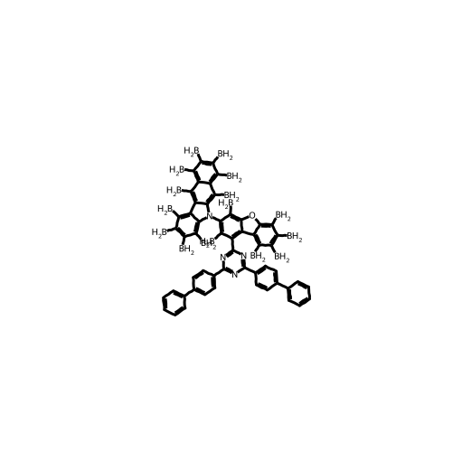 Bc1c(B)c(B)c2c(oc3c(B)c(-n4c5c(B)c(B)c(B)c(B)c5c5c(B)c6c(B)c(B)c(B)c(B)c6c(B)c54)c(B)c(-c4nc(-c5ccc(-c6ccccc6)cc5)nc(-c5ccc(-c6ccccc6)cc5)n4)c32)c1B